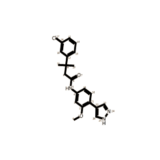 COc1cc(NC(=O)CC(C)(C)c2cccc(Cl)c2)ccc1-c1cn[nH]c1